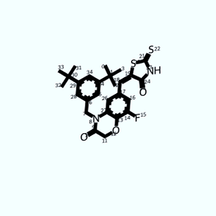 CC(C)(C)c1cc(CN2C(=O)COc3c(F)cc(C=C4SC(=S)NC4=O)cc32)cc(C(C)(C)C)c1